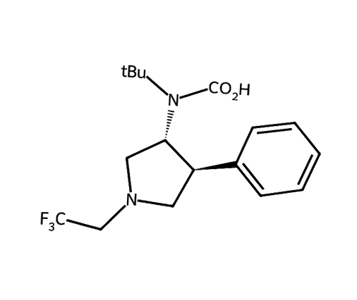 CC(C)(C)N(C(=O)O)[C@H]1CN(CC(F)(F)F)C[C@@H]1c1ccccc1